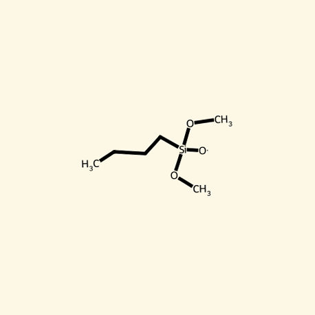 CCCC[Si]([O])(OC)OC